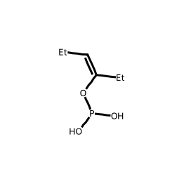 CCC=C(CC)OP(O)O